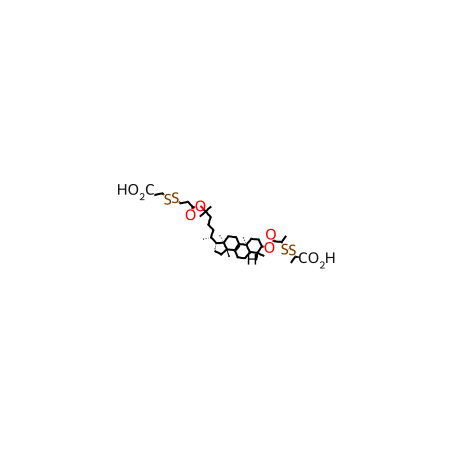 CC(SSC(C)C(=O)OC1CC[C@]2(C)C3=C(CC[C@H]2C1(C)C)[C@]1(C)CC[C@H]([C@H](C)CCCC(C)(C)OC(=O)CCSSCCC(=O)O)[C@@]1(C)CC3)C(=O)O